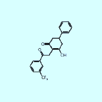 O=C1CC(c2ccccc2)CC(O)=C1CC(=O)c1cccc(C(F)(F)F)c1